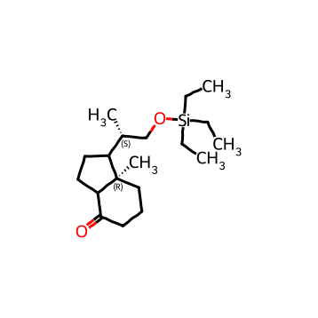 CC[Si](CC)(CC)OC[C@@H](C)C1CCC2C(=O)CCC[C@@]21C